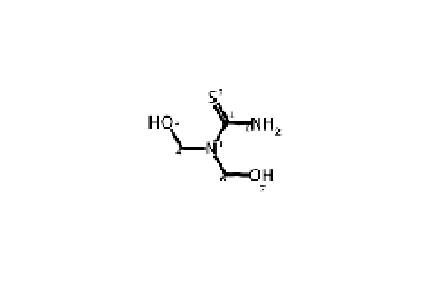 NC(=S)N(CO)CO